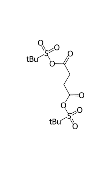 CC(C)(C)S(=O)(=O)OC(=O)CCC(=O)OS(=O)(=O)C(C)(C)C